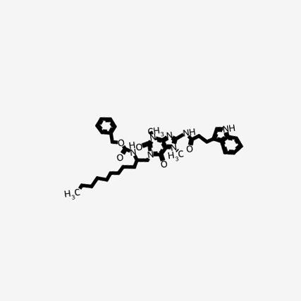 CCCCCCCCCC(Cn1c(=O)c2c(nc(NC(=O)CCc3c[nH]c4ccccc34)n2C)n(C)c1=O)NC(=O)OCc1ccccc1